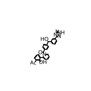 CC(=O)c1ccc(OCc2ccc(C(O)c3cccc(-c4nn[nH]n4)c3)cc2)c(-c2ccccn2)c1O